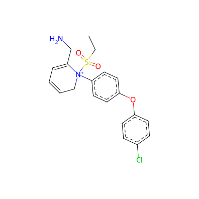 CCS(=O)(=O)[N+]1(c2ccc(Oc3ccc(Cl)cc3)cc2)CC=CC=C1CN